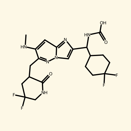 CNc1cc2nc(C(NC(=O)O)C3CCC(F)(F)CC3)cn2nc1CC1CC(F)(F)CNC1=O